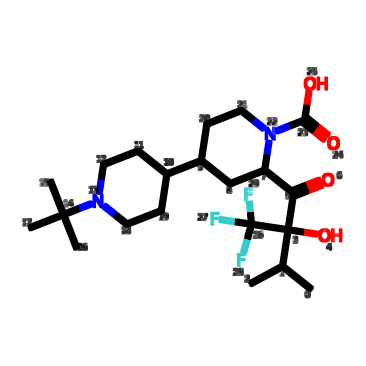 CC(C)C(O)(C(=O)C1CC(C2CCN(C(C)(C)C)CC2)CCN1C(=O)O)C(F)(F)F